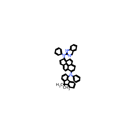 CC1(C)c2ccccc2-c2c(N(c3ccccc3)c3ccc4ccc5c(N(c6ccccc6)c6ncc7ccccc7n6)ccc6ccc3c4c65)cccc21